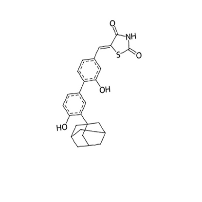 O=C1NC(=O)C(=Cc2ccc(-c3ccc(O)c(C45CC6CC(CC(C6)C4)C5)c3)c(O)c2)S1